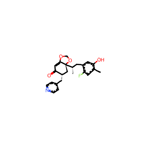 Cc1cc(F)c(C[C@H](C)[C@]23C[C@H](Cc4ccncc4)C(=O)C=C2OCO3)cc1O